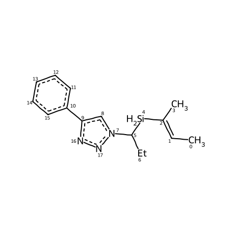 CC=C(C)[SiH2]C(CC)n1cc(-c2ccccc2)nn1